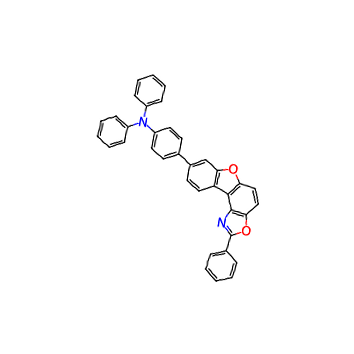 c1ccc(-c2nc3c(ccc4oc5cc(-c6ccc(N(c7ccccc7)c7ccccc7)cc6)ccc5c43)o2)cc1